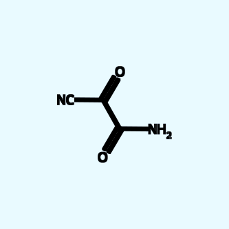 N#CC(=O)C(N)=O